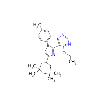 CCOc1ncncc1C1=NC(C2CC(C)(C)CC(C)(C)C2)=CB1c1ccc(C)cc1